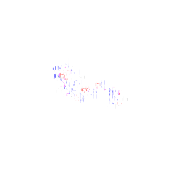 CC[C@H](C)[C@H](NC(=O)[C@@H](NC(=O)[C@H](C)NC(=O)[C@H](CC(C)C)NC(=O)[C@@H](NC(=O)[C@H](Cc1c[nH]c2ccccc12)NC(=O)[C@@H](NC(=O)[C@@H](NC(=O)[C@H](CC(C)C)NC(=O)[C@H](CC(C)C)NC(=O)[C@H](CC(C)C)NC(=O)CNC(=O)CNC(=O)[C@@H](NC(=O)[C@@H](NC(=O)[C@@H](N)C(C)C)C(C)C)C(C)C)C(C)C)C(C)C)C(C)C)C(C)C)C(=O)O